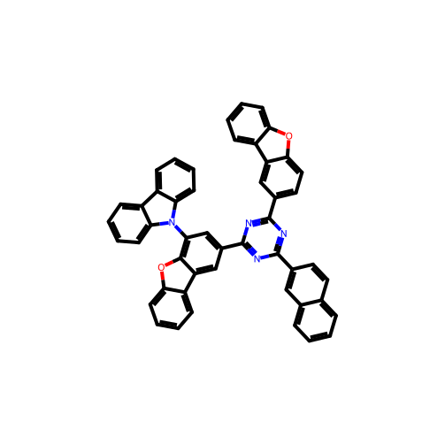 c1ccc2cc(-c3nc(-c4ccc5oc6ccccc6c5c4)nc(-c4cc(-n5c6ccccc6c6ccccc65)c5oc6ccccc6c5c4)n3)ccc2c1